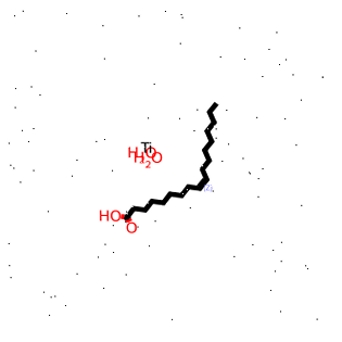 CCCCCCCC/C=C\CCCCCCCC(=O)O.O.O.[Ti]